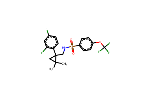 CC1(C)CC1(CNS(=O)(=O)c1ccc(OC(F)(F)F)cc1)c1ccc(F)cc1F